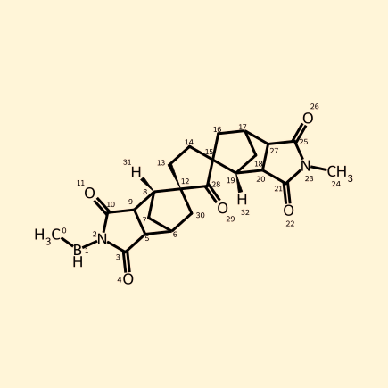 CBN1C(=O)C2C3C[C@H](C2C1=O)[C@@]1(CCC2(CC4C[C@@H]2C2C(=O)N(C)C(=O)C42)C1=O)C3